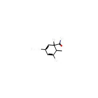 CC1C([N+](=O)[O-])=CC(C(=O)O)=CC1(C(N)=O)[N+](=O)[O-]